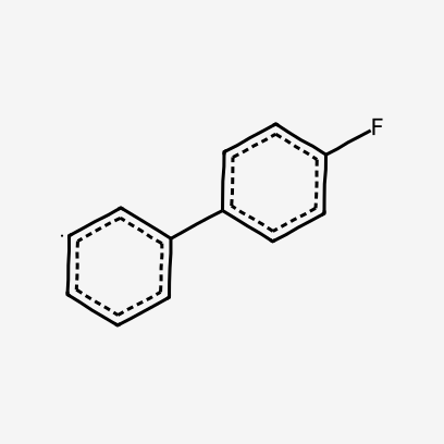 Fc1ccc(-c2c[c]ccc2)cc1